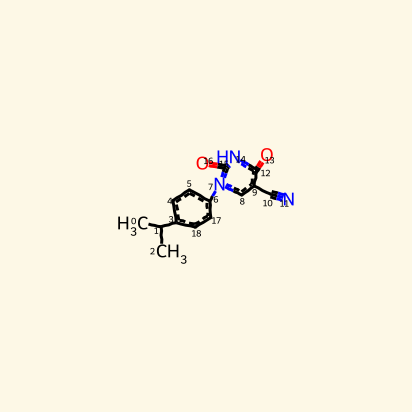 CC(C)c1ccc(-n2cc(C#N)c(=O)[nH]c2=O)cc1